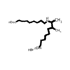 Br.CCCCCCCCCCCCCCCCCCNC(C)C(C)CCCCCCCCCCCCCCCC